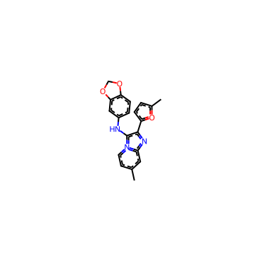 Cc1ccn2c(Nc3ccc4c(c3)OCO4)c(-c3ccc(C)o3)nc2c1